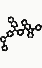 C1=C(c2ccc(N(c3cccc(-c4c5ccccc5cc5c4c4ccccc4n5-c4ccccc4)c3)c3ccc4ccccc4c3)cc2)C=C(c2ccccc2)CC1